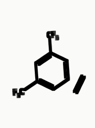 C=C.FC(F)(F)c1cccc(C(F)(F)F)c1